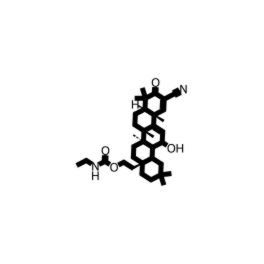 CCNC(=O)OCC[C@]12CCC(C)(C)CC1C1C(O)C=C3[C@@]4(C)C=C(C#N)C(=O)C(C)(C)[C@@H]4CC[C@@]3(C)[C@]1(C)CC2